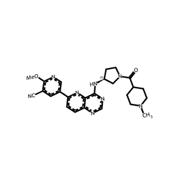 COc1ncc(-c2ccc3ncnc(N[C@H]4CCN(C(=O)C5CCN(C)CC5)C4)c3n2)cc1C#N